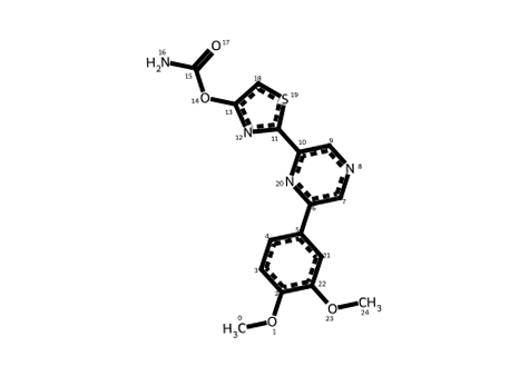 COc1ccc(-c2cncc(-c3nc(OC(N)=O)cs3)n2)cc1OC